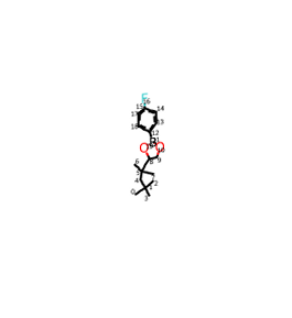 CC(C)(C)CC(C)(C)C1COB(c2ccc(F)cc2)O1